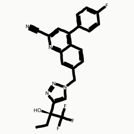 CC[C@](O)(c1cn(Cc2ccc3c(-c4ccc(F)cc4)cc(C#N)nc3c2)nn1)C(F)(F)F